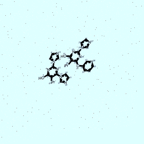 CC(C)c1c(O)nc(-n2ccnc2)nc1-n1ccnc1.CC(C)c1c(O)nc(-n2ccnc2)nc1Oc1cccnc1